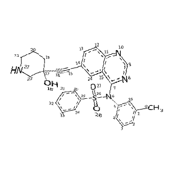 Cc1cccc(N(c2ncnc3ccc(C#CC4(O)CCCNC4)cc23)S(=O)(=O)c2ccccc2)c1